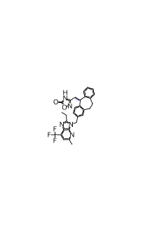 CCc1nc2c(C(F)(F)F)cc(C)nc2n1Cc1ccc2c(c1)CCc1ccccc1/C2=C/c1noc(=O)[nH]1